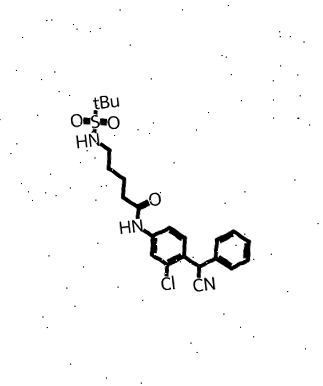 CC(C)(C)S(=O)(=O)NCCCCC(=O)Nc1ccc(C(C#N)c2ccccc2)c(Cl)c1